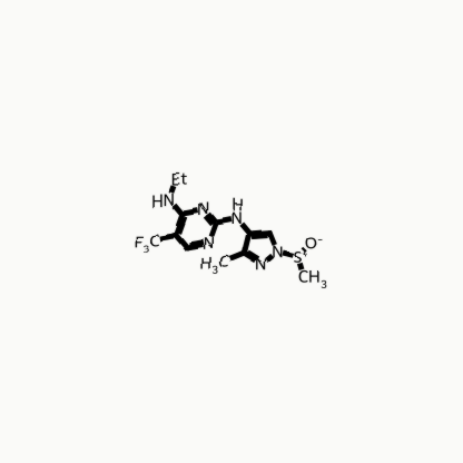 CCNc1nc(Nc2cn([S+](C)[O-])nc2C)ncc1C(F)(F)F